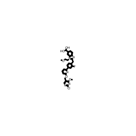 COCCn1c(Cc2ccc(-c3cccc(OCc4cnc(Cl)nc4OC)n3)cc2F)nc2ccc(C(O)O)cc21